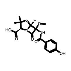 COC1(NC(=O)c2ccc(O)cc2)C(=O)N2[C@@H](C(=O)O)C(C)(C)S[C@@H]21